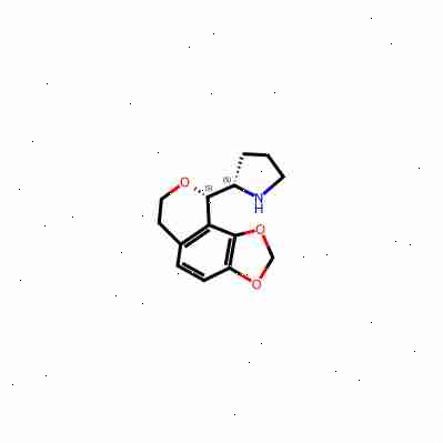 c1cc2c(c3c1CCO[C@@H]3[C@@H]1CCCN1)OCO2